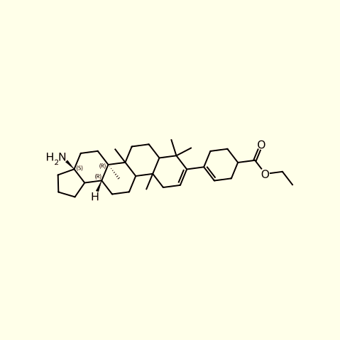 CCOC(=O)C1CC=C(C2=CCC3(C)C(CCC4(C)C3CC[C@@H]3C5CCC[C@]5(N)CC[C@]34C)C2(C)C)CC1